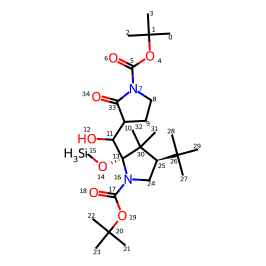 CC(C)(C)OC(=O)N1CCC(C(O)[C@]2(O[SiH3])N(C(=O)OC(C)(C)C)C[C@H](C(C)(C)C)C2(C)C)C1=O